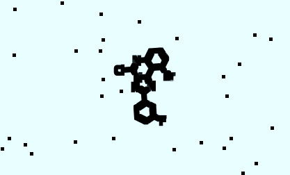 Fc1cccc(-c2nc3c4c(Br)cccc4nc(Cl)n3n2)c1